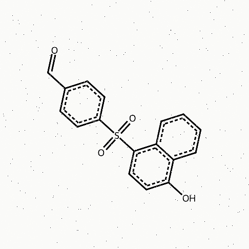 O=Cc1ccc(S(=O)(=O)c2ccc(O)c3ccccc23)cc1